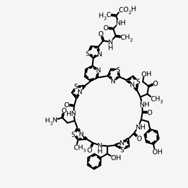 C=C(NC(=O)C(=C)NC(=O)c1csc(-c2ccc3c(n2)-c2csc(n2)-c2csc(n2)C(C(C)C(=O)CO)NC(=O)C(Cc2ccc(O)cc2)NC(=O)c2csc(n2)C(C(O)c2ccccc2)NC(=O)c2nc(sc2C)C(CC(N)=O)NC(=O)c2csc-3n2)n1)C(=O)O